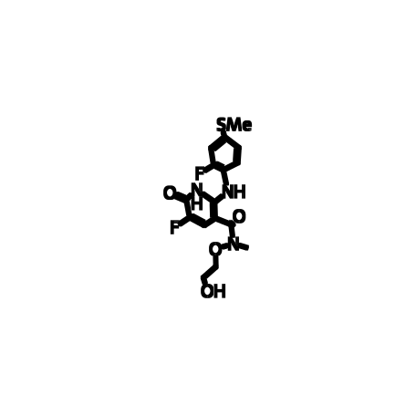 CSc1ccc(Nc2[nH]c(=O)c(F)cc2C(=O)N(C)OCCO)c(F)c1